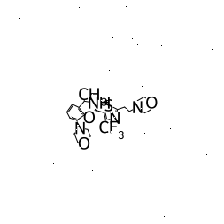 C[C@H](NC(=O)c1sc(CCN2CCOCC2)nc1C(F)(F)F)c1cccc(N2CCOCC2)c1